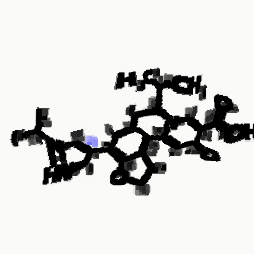 CC(C)C1Cc2cc(/C(C=N)=C/NC(F)F)c3c(c2-c2cc(=O)c(C(=O)O)cn21)CCO3